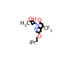 CC(C)CCOc1cnc2c(c1)c(C(F)(F)F)cc(=O)n2C1CC(C)(O)C1